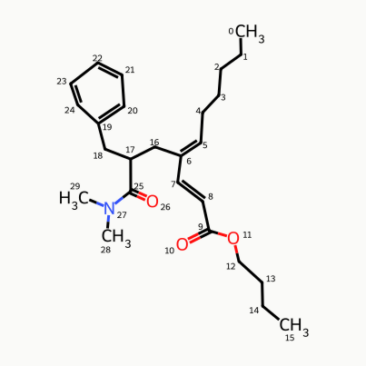 CCCCC/C=C(/C=C/C(=O)OCCCC)CC(Cc1ccccc1)C(=O)N(C)C